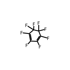 FC1=C(F)C(F)(F)C(F)(F)C(F)=C1F